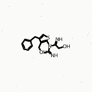 CC(=N)N(C(=N)CO)c1scc(Cc2ccccc2)c1CO